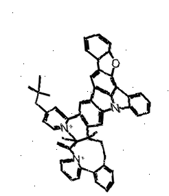 C=C1[n+]2ccccc2-c2ccccc2CCC2(C)c3cc4c(cc3-c3cc(CC(C)(C)C)cc[n+]3C12C)c1cc2c(c3c5ccccc5n4c13)OC1C=CC=CC21